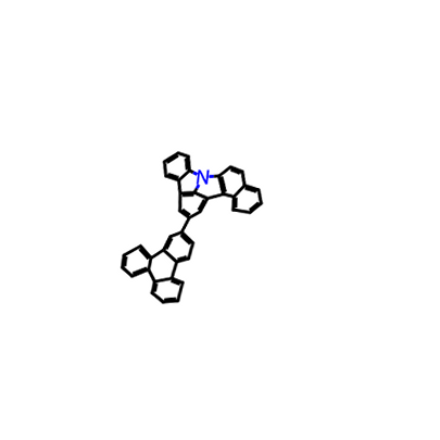 c1ccc2c(c1)ccc1c2c2cc(-c3ccc4c5ccccc5c5ccccc5c4c3)cc3c4ccccc4n1c32